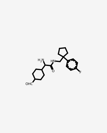 NC(C(=O)NCC1(c2ccc(F)cc2)CCCC1)C1CCC(C=O)CC1